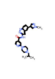 CC(C)CN1CCN(c2cc(C(=O)Nc3cc4cc(-c5cnn(C)c5)ccc4nn3)ccn2)CC1